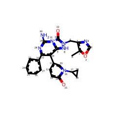 Cc1ocnc1Cn1[nH]c2c(-c3ccc(=O)n(C4CC4)c3)c(-c3ccccc3)nc(N)[n+]2c1=O